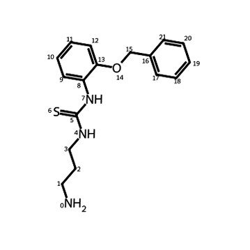 NCCCNC(=S)Nc1ccccc1OCc1ccccc1